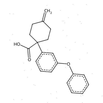 C=C1CCC(C(=O)O)(c2cccc(Oc3ccccc3)c2)CC1